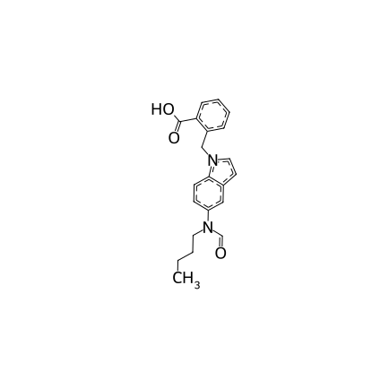 CCCCN(C=O)c1ccc2c(ccn2Cc2ccccc2C(=O)O)c1